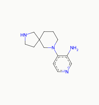 Nc1cnccc1N1CCCC2(CCNC2)C1